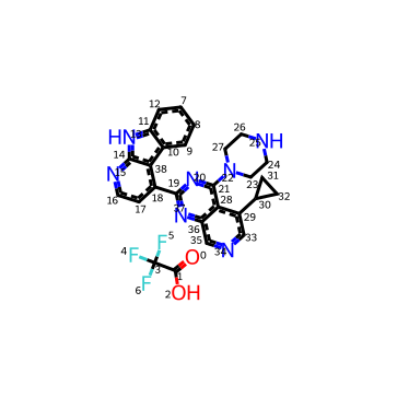 O=C(O)C(F)(F)F.c1ccc2c(c1)[nH]c1nccc(-c3nc(N4CCNCC4)c4c(C5CC5)cncc4n3)c12